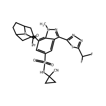 CC(C)C(=O)N1C2CCC1CC(c1cc(S(=O)(=O)NC3(C#N)CC3)cc3c(-c4nnc(C(F)F)s4)nn(C)c13)C2